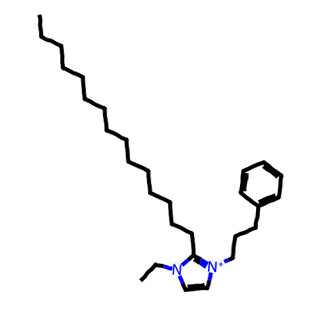 CCCCCCCCCCCCCCCc1n(CC)cc[n+]1CCCc1ccccc1